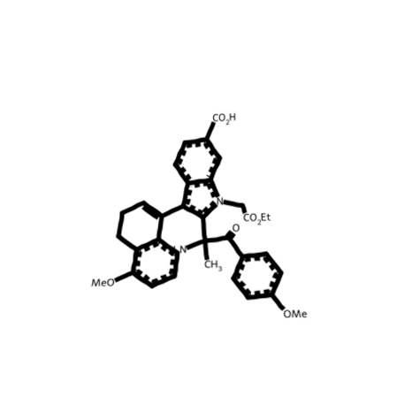 CCOC(=O)Cn1c(C(C)(N)C(=O)c2ccc(OC)cc2)c(C2=CCCc3c(OC)cccc32)c2ccc(C(=O)O)cc21